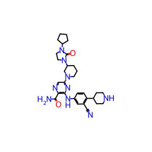 N#Cc1cc(Nc2nc(N3CCCC(N4CCN(C5CCCC5)C4=O)C3)cnc2C(N)=O)ccc1C1CCNCC1